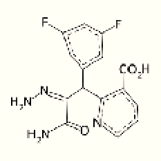 NN=C(C(N)=O)C(c1cc(F)cc(F)c1)c1ncccc1C(=O)O